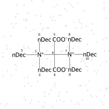 CCCCCCCCCC[N+](CCCCCCCCCC)(CCCCCCCCCC)C(C(=O)[O-])(C(=O)[O-])[N+](CCCCCCCCCC)(CCCCCCCCCC)CCCCCCCCCC